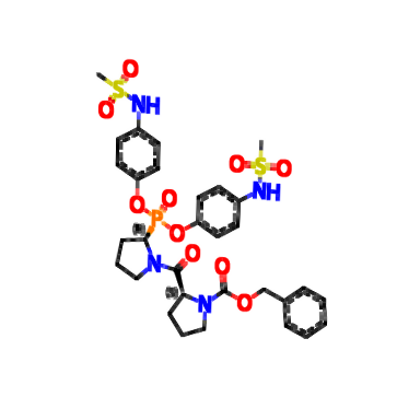 CS(=O)(=O)Nc1ccc(OP(=O)(Oc2ccc(NS(C)(=O)=O)cc2)[C@@H]2CCCN2C(=O)[C@@H]2CCCN2C(=O)OCc2ccccc2)cc1